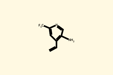 C=Cc1cc(C(F)(F)F)ncc1N